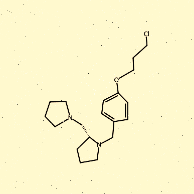 ClCCCOc1ccc(CN2CCC[C@@H]2CN2CCCC2)cc1